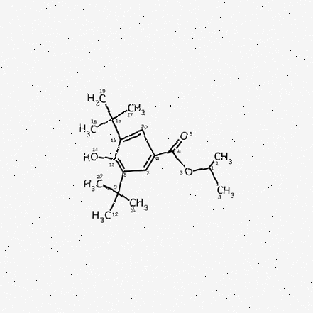 CC(C)OC(=O)c1cc(C(C)(C)C)c(O)c(C(C)(C)C)c1